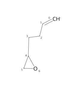 [CH]=CCCC1CO1